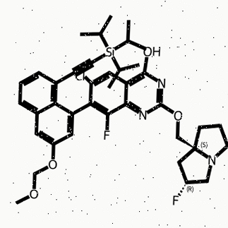 COCOc1cc(-c2c(Cl)cc3c(O)nc(OC[C@@]45CCCN4C[C@H](F)C5)nc3c2F)c2c(C#C[Si](C(C)C)(C(C)C)C(C)C)cccc2c1